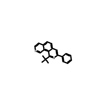 CC(C)(C)c1nc(-c2ccccc2)cc2ccc3ccncc3c12